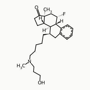 CN(CCCO)CCCCC[C@@H]1Cc2ccccc2[C@@H]2[C@@H]1[C@@H]1CCC(=O)[C@@]1(C)C[C@@H]2F